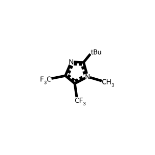 Cn1c(C(C)(C)C)nc(C(F)(F)F)c1C(F)(F)F